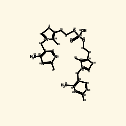 Cc1ncc(C[n+]2csc(CCOP(=O)(O)OCCc3sc[n+](Cc4cnc(C)nc4N)c3C)c2C)c(N)n1